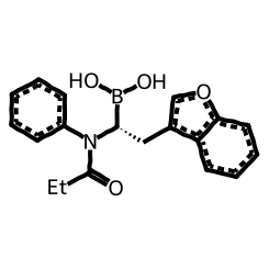 CCC(=O)N(c1ccccc1)[C@@H](Cc1coc2ccccc12)B(O)O